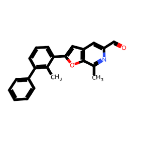 Cc1c(-c2ccccc2)cccc1-c1cc2cc(C=O)nc(C)c2o1